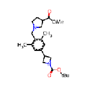 COC(=O)C1CCN(Cc2c(C)cc(C3CN(C(=O)OC(C)(C)C)C3)cc2C)C1